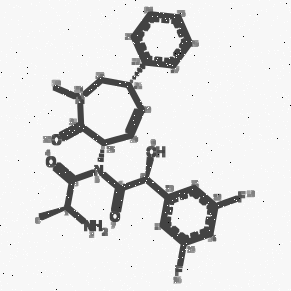 C[C@H](N)C(=O)N(C(=O)[C@@H](O)c1cc(F)cc(F)c1)[C@H]1C=C[C@@H](c2ccccc2)CN(C)C1=O